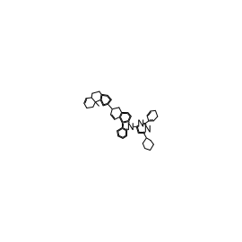 CC12CCC=CC1CCc1ccc(C3C=Cc4c(ccc5c4c4ccccc4n5-c4cc(C5CCCCC5)nc(C5=CCCC=C5)n4)C3)cc12